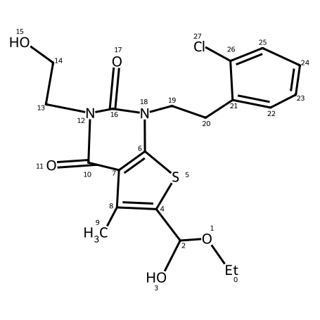 CCOC(O)c1sc2c(c1C)c(=O)n(CCO)c(=O)n2CCc1ccccc1Cl